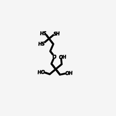 OCC(CO)(CO)COCCC(S)(S)S